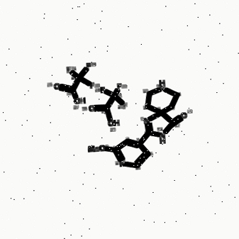 COc1cc(C2=NC3(CCNCC3)C(=O)N2)ccn1.O=C(O)C(F)(F)F.O=C(O)C(F)(F)F